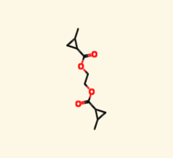 CC1CC1C(=O)OCCOC(=O)C1CC1C